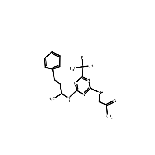 CC(=O)CNc1nc(NC(C)CCc2ccccc2)nc(C(C)(C)F)n1